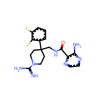 N=C(N)N1CCC(CNC(=O)c2nccnc2N)(c2cccc(F)c2F)CC1